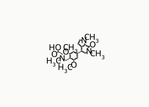 COc1cc(-c2cn(C)c(=O)c3c2ccn3C)cc(OC)c1CN(C)CC(=O)O